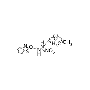 CN(C)Cc1ccc(CSCCNC(=C[N+](=O)[O-])NCCOc2nc3ccccc3s2)o1